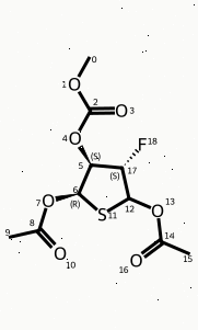 COC(=O)O[C@@H]1[C@H](OC(C)=O)SC(OC(C)=O)[C@H]1F